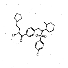 CCN(CCN1CCCC1)C(=O)c1ccc(CN(C2CCCCC2C)S(=O)(=O)c2ccc(Cl)cc2)cc1